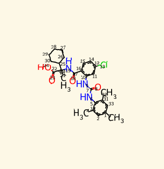 Cc1cc(C)c(NC(=O)Nc2cc(Cl)ccc2C(=O)N[C@](C)(C(=O)O)C2CCCCC2)c(C)c1